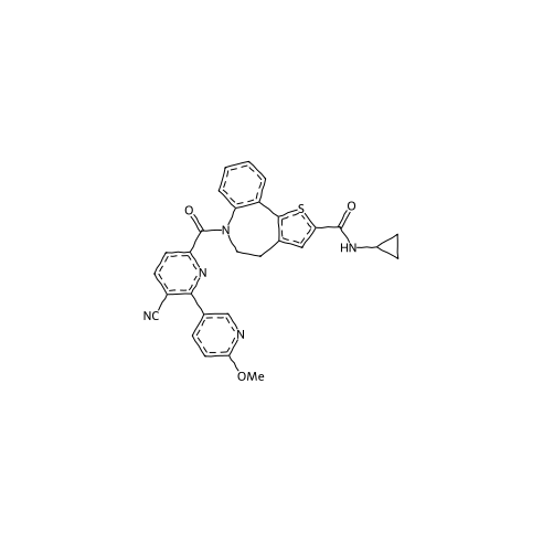 COc1ccc(-c2nc(C(=O)N3CCc4cc(C(=O)NC5CC5)sc4-c4ccccc43)ccc2C#N)cn1